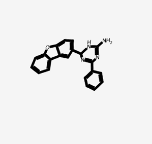 NC1=NC(c2ccccc2)=NC(c2ccc3oc4ccccc4c3c2)N1